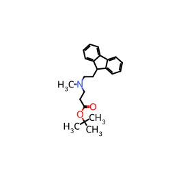 CN(CCC(=O)OC(C)(C)C)CCC1c2ccccc2-c2ccccc21